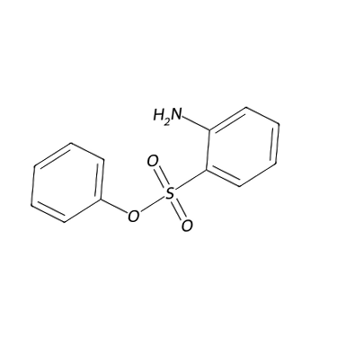 Nc1ccccc1S(=O)(=O)Oc1ccccc1